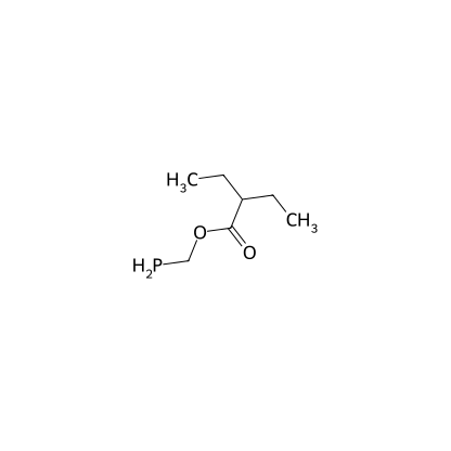 CCC(CC)C(=O)OCP